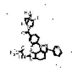 CC(=O)Nc1nc2c(s1)-c1c(c(-c3cccnc3)nn1-c1ccc(C(=O)N3C[C@H]4C[C@@H]3CN4C)cc1Cl)CC2